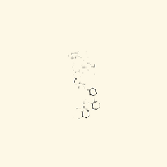 COc1nc(-c2ccnc(-c3cccc(NC(=O)c4ncc(CN(CCO[Si](C)(C)C(C)(C)C)C(=O)OC(C)(C)C)s4)c3C)c2Cl)ccc1C=O